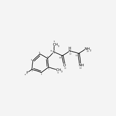 Cc1cc(F)ccc1N(C)C(=O)NC(=N)N